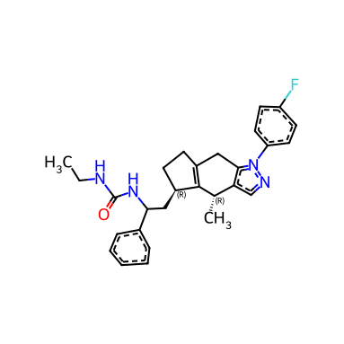 CCNC(=O)NC(C[C@H]1CCC2=C1[C@@H](C)c1cnn(-c3ccc(F)cc3)c1C2)c1ccccc1